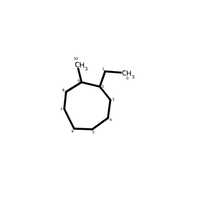 CC[C]1CCCCCCC1C